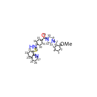 COc1ccccc1CN1CCN(C(=O)c2ccc(NSc3cccc4cccnc34)cc2)CC1